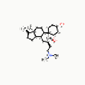 C=C1CCC2[C@H](C/C=C\CN(C)C)C([C@@]3(C)CC[C@H](O)C[C@@H]3O)CC[C@]12C